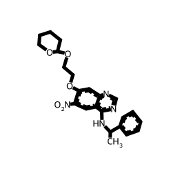 CC(Nc1ncnc2cc(OCCOC3CCCCO3)c([N+](=O)[O-])cc12)c1ccccc1